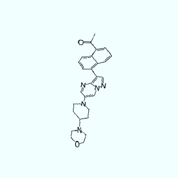 CC(=O)c1cccc2c(-c3cnn4cc(N5CCC(N6CCOCC6)CC5)cnc34)cccc12